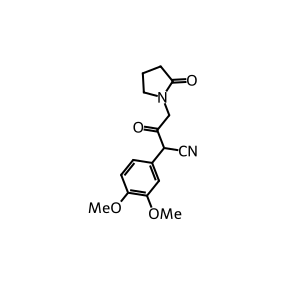 COc1ccc(C(C#N)C(=O)CN2CCCC2=O)cc1OC